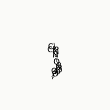 CC1CC(COC(=O)OCOc2ccc3ccc(OCCCCN4CCN(c5cccc(Cl)c5Cl)CC4)cc3n2)C1